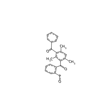 Cc1cc(C)c(C(=O)c2ccccc2P=O)c(C)c1C(=O)c1ccccc1